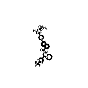 CC(C)(C)OC(=O)N1CCN(c2ccc3c(C(=O)NCC(c4cnc(C(F)(F)F)nc4)N4CCCCCC4)cccc3n2)CC1